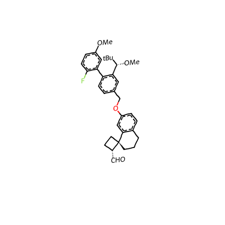 COc1ccc(F)c(-c2ccc(COc3ccc4c(c3)[C@@]3(CCC4)CC[C@H]3C=O)cc2[C@@H](OC)C(C)(C)C)c1